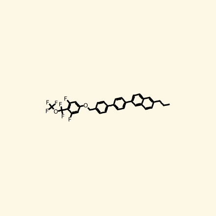 CCCc1ccc2cc(-c3ccc(-c4ccc(COc5cc(F)c(C(F)(F)OC(F)(F)F)c(F)c5)cc4)cc3)ccc2c1